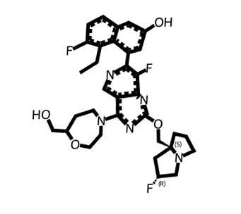 CCc1c(F)ccc2cc(O)cc(-c3ncc4c(N5CCOC(CO)CC5)nc(OC[C@@]56CCCN5C[C@H](F)C6)nc4c3F)c12